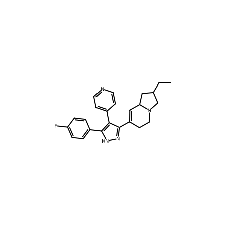 CCC1CC2C=C(c3n[nH]c(-c4ccc(F)cc4)c3-c3ccncc3)CCN2C1